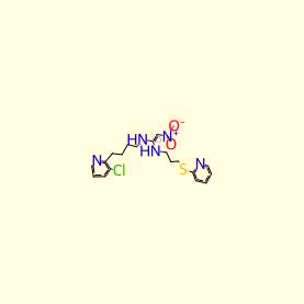 O=[N+]([O-])/C=C(/NCCCCc1ncccc1Cl)NCCCSc1ccccn1